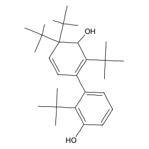 CC(C)(C)C1=C(c2cccc(O)c2C(C)(C)C)C=CC(C(C)(C)C)(C(C)(C)C)C1O